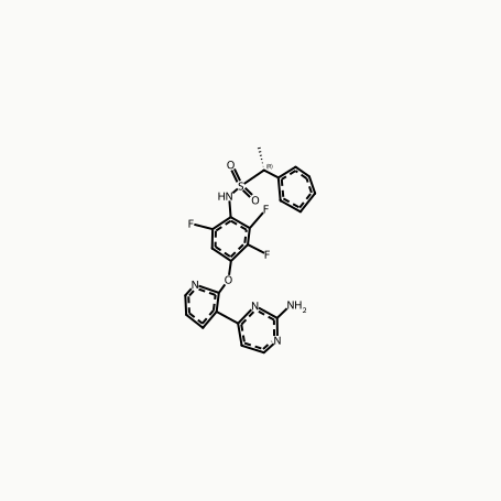 C[C@H](c1ccccc1)S(=O)(=O)Nc1c(F)cc(Oc2ncccc2-c2ccnc(N)n2)c(F)c1F